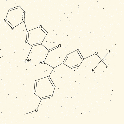 COc1ccc(C(NC(=O)c2cnc(-c3cccnn3)nc2O)c2ccc(OC(F)(F)F)cc2)cc1